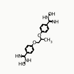 CC(COc1ccc(C(=N)NO)cc1)Oc1ccc(C(=N)NO)cc1